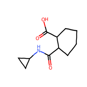 O=C(O)C1CCCCC1C(=O)NC1CC1